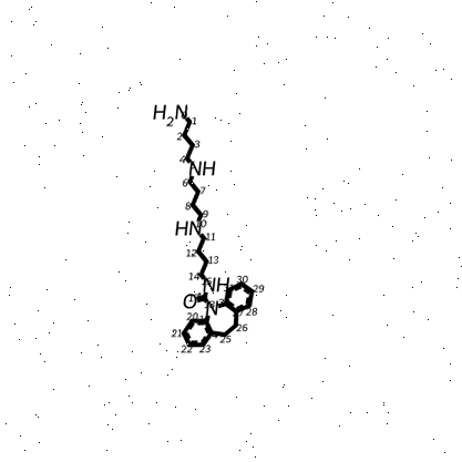 NCCCCNCCCCNCCCCNC(=O)N1c2ccccc2CCc2ccccc21